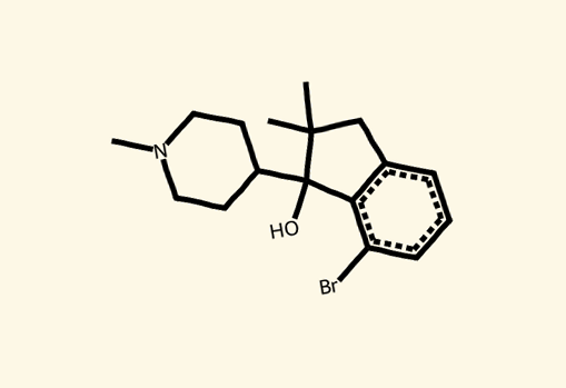 CN1CCC(C2(O)c3c(Br)cccc3CC2(C)C)CC1